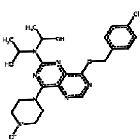 CC(O)N(c1nc(N2CC[S+]([O-])CC2)c2ncnc(OCc3ccc(Cl)cc3)c2n1)C(C)O